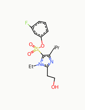 CCn1c(CCO)nc(C(C)C)c1S(=O)(=O)Oc1cccc(F)c1